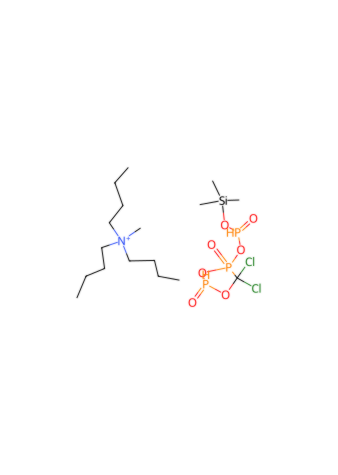 CCCC[N+](C)(CCCC)CCCC.C[Si](C)(C)O[PH](=O)OP1(=O)O[PH](=O)OC1(Cl)Cl